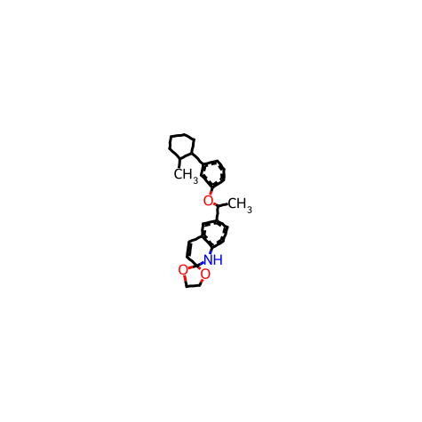 CC(Oc1cccc(C2CCCCC2C)c1)c1ccc2c(c1)C=CC1(N2)OCCO1